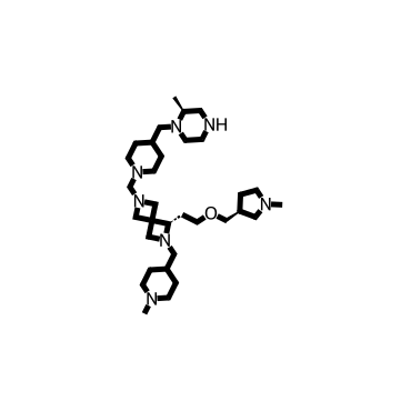 C[C@H]1CNCCN1CC1CCN(CN2CC3(C2)CN(CC2CCN(C)CC2)[C@H]3CCOC[C@H]2CCN(C)C2)CC1